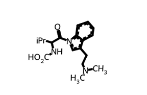 CC(C)C(NC(=O)O)C(=O)n1cc(CCN(C)C)c2ccccc21